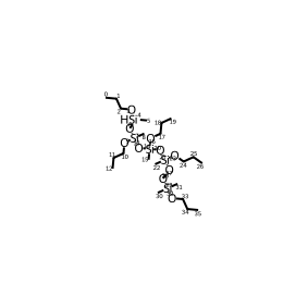 CCCO[SiH](C)O[Si](C)(OCCC)O[Si](C)(OCCC)O[Si](C)(OCCC)OO[Si](C)(C)OCCC